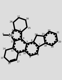 Cn1c2c(c3c4c5c(ccc4c4c(c31)CCC=C4)-c1ccccc1C5)CCCC2